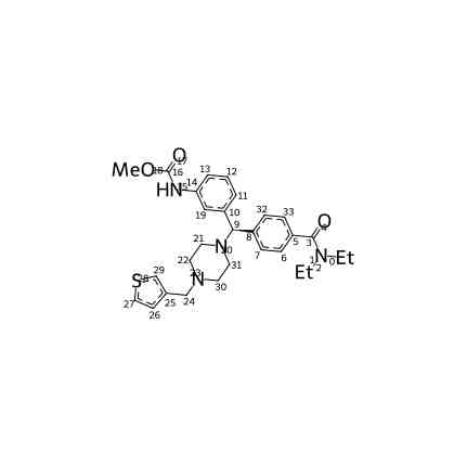 CCN(CC)C(=O)c1ccc([C@H](c2cccc(NC(=O)OC)c2)N2CCN(Cc3ccsc3)CC2)cc1